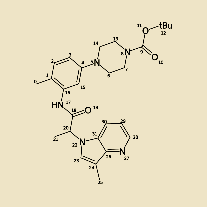 Cc1ccc(N2CCN(C(=O)OC(C)(C)C)CC2)cc1NC(=O)C(C)n1cc(C)c2ncccc21